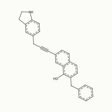 Oc1c(Cc2ccccc2)ccc2ccc(C#CCc3ccc4c(c3)CCN4)cc12